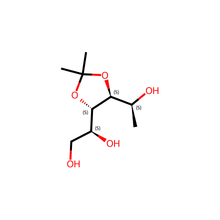 C[C@H](O)[C@@H]1OC(C)(C)O[C@H]1[C@@H](O)CO